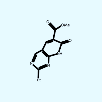 CCc1ncc2cc(C(=O)OC)c(=O)[nH]c2n1